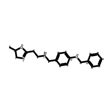 CC1CN=C(CCNCc2ccc(OCc3ccccc3)cc2)O1